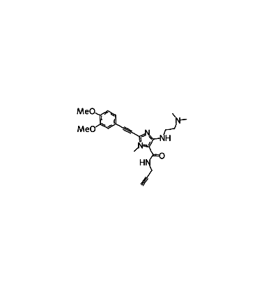 C#CCNC(=O)c1c(NCCN(C)C)nc(C#Cc2ccc(OC)c(OC)c2)n1C